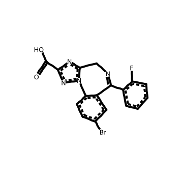 O=C(O)c1nc2n(n1)-c1ccc(Br)cc1C(c1ccccc1F)=NC2